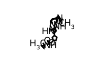 Cn1ncc2ccnc(Nc3cc(C4CCC(OC(=O)NC5(C)CC5)C4)[nH]n3)c21